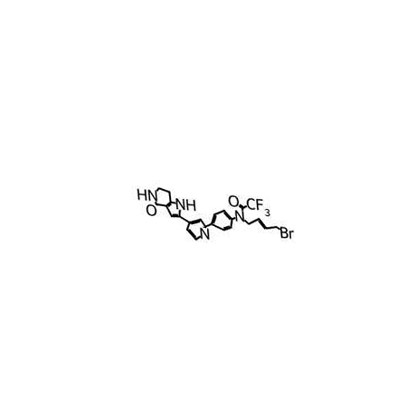 O=C1NCCc2[nH]c(-c3ccnc(-c4ccc(N(C/C=C/CBr)C(=O)C(F)(F)F)cc4)c3)cc21